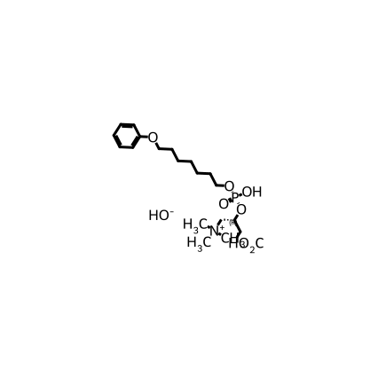 C[N+](C)(C)C[C@@H](CC(=O)O)OP(=O)(O)OCCCCCCCOc1ccccc1.[OH-]